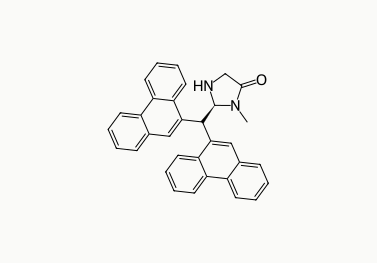 CN1C(=O)CN[C@@H]1C(c1cc2ccccc2c2ccccc12)c1cc2ccccc2c2ccccc12